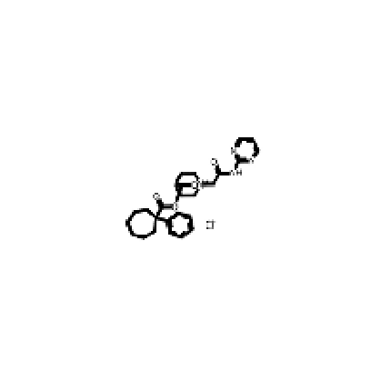 O=C(C[N+]12CCC(CC1)C(OC(=O)C1(c3ccccc3)CCCCCC1)C2)Nc1ncccn1.[Cl-]